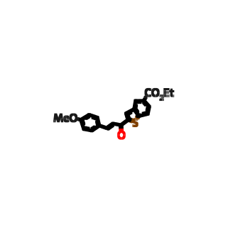 CCOC(=O)c1ccc2sc(C(=O)/C=C/c3ccc(OC)cc3)cc2c1